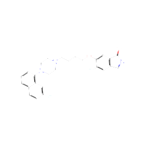 O=C1N=Cc2cc(F)c(OCCCCN3CCN(c4cccc5ccc(F)cc45)CC3)cc21